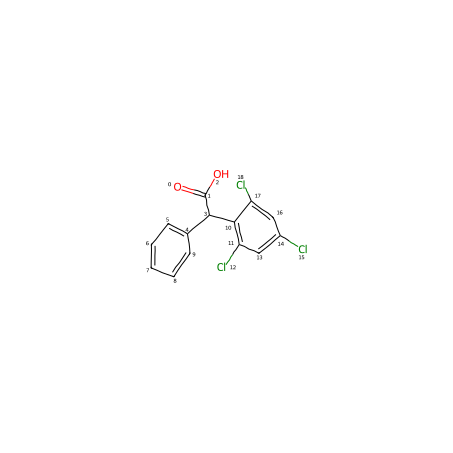 O=C(O)C(c1ccccc1)c1c(Cl)cc(Cl)cc1Cl